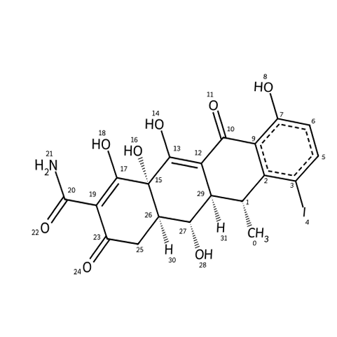 C[C@H]1c2c(I)ccc(O)c2C(=O)C2=C(O)[C@]3(O)C(O)=C(C(N)=O)C(=O)C[C@@H]3[C@@H](O)[C@@H]21